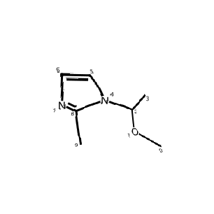 COC(C)n1ccnc1C